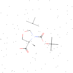 CC(C)(C)OC(=O)N1[C@@H](C(C)(C)C)OC[C@@]1(C)C(=O)O